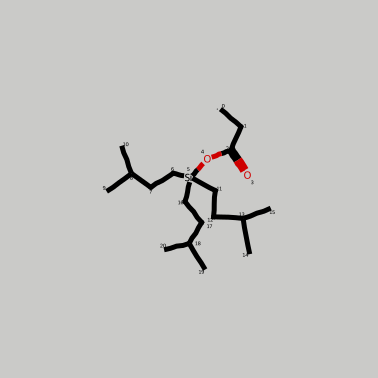 [CH2]CC(=O)O[Si](CCC(C)C)(CCC(C)C)CCC(C)C